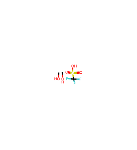 CO.CO.O=S(=O)(O)C(F)(F)F